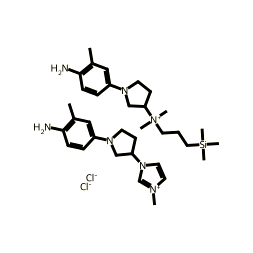 Cc1cc(N2CCC([N+](C)(C)CCC[Si](C)(C)C)C2)ccc1N.Cc1cc(N2CCC(n3cc[n+](C)c3)C2)ccc1N.[Cl-].[Cl-]